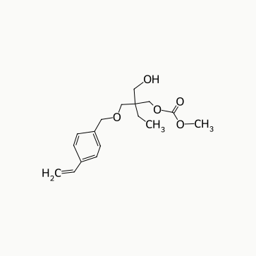 C=Cc1ccc(COCC(CC)(CO)COC(=O)OC)cc1